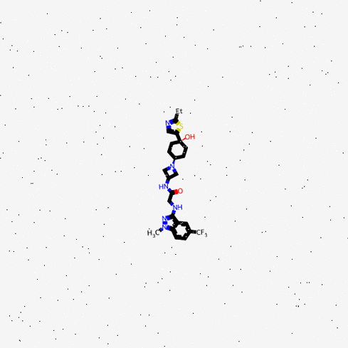 CCc1ncc([C@]2(O)CC[C@H](N3CC(NC(=O)CNc4nn(C)c5ccc(C(F)(F)F)cc45)C3)CC2)s1